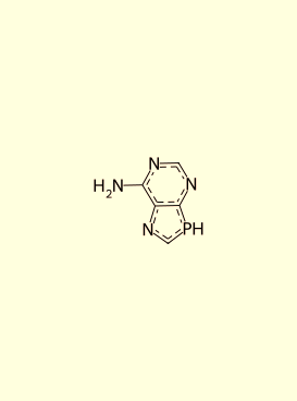 Nc1ncnc2[pH]cnc12